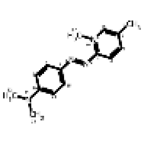 Cc1ccc(/N=N/c2ccc(N(C)C)cc2)[n+](C)c1